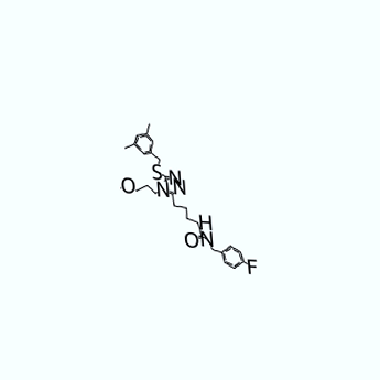 COCCCn1c(CCCCC(=O)NCc2ccc(F)cc2)nnc1SCc1cc(C)cc(C)c1